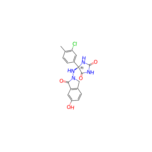 Cc1ccc([C@]2(NN3Cc4ccc(O)cc4C3=O)NC(=O)NC2=O)cc1Cl